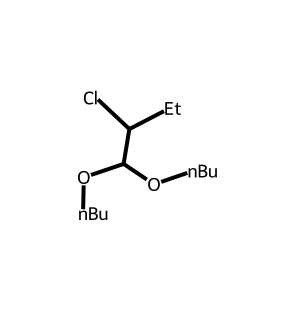 CCCCOC(OCCCC)C(Cl)CC